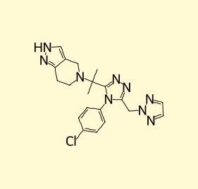 CC(C)(c1nnc(Cn2nccn2)n1-c1ccc(Cl)cc1)N1CCc2n[nH]cc2C1